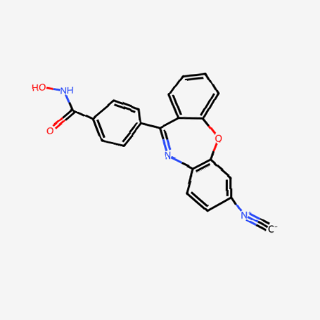 [C-]#[N+]c1ccc2c(c1)Oc1ccccc1C(c1ccc(C(=O)NO)cc1)=N2